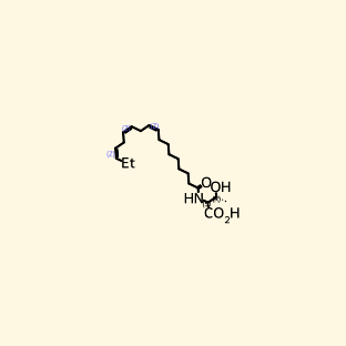 CC/C=C\C/C=C\C/C=C\CCCCCCCC(=O)N[C@H](C(=O)O)[C@@H](C)O